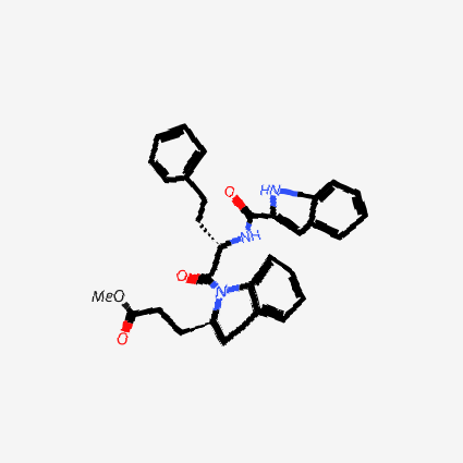 COC(=O)CC[C@@H]1Cc2ccccc2N1C(=O)[C@H](CCc1ccccc1)NC(=O)c1cc2ccccc2[nH]1